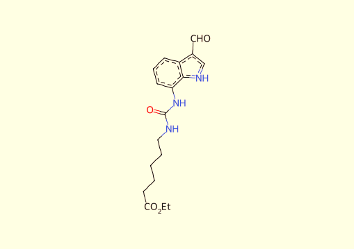 CCOC(=O)CCCCCNC(=O)Nc1cccc2c(C=O)c[nH]c12